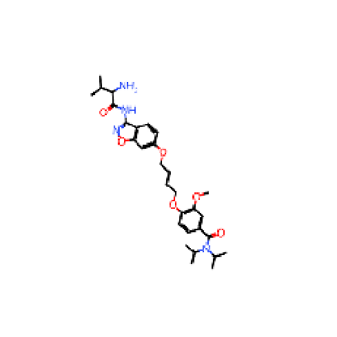 COc1cc(C(=O)N(C(C)C)C(C)C)ccc1OCCCCOc1ccc2c(NC(=O)C(N)C(C)C)noc2c1